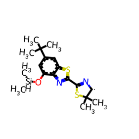 C[SiH](C)Oc1cc(C(C)(C)C)cc2sc(C3=N[CH]C(C)(C)S3)nc12